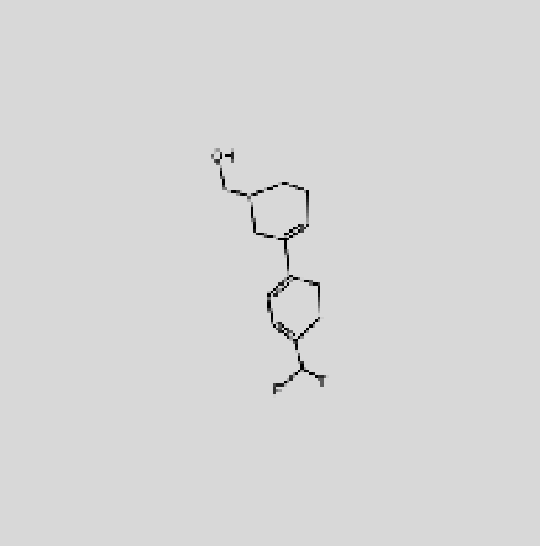 OCC1CCC=C(C2=CC=C(C(F)F)CC2)C1